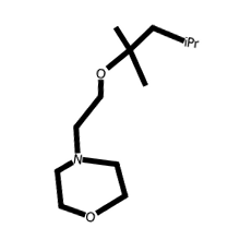 CC(C)CC(C)(C)OCCN1CCOCC1